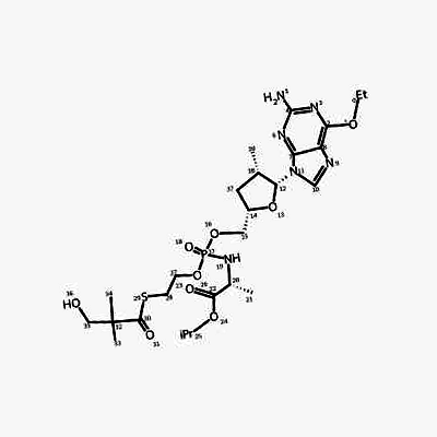 CCOc1nc(N)nc2c1ncn2[C@@H]1O[C@H](COP(=O)(N[C@H](C)C(=O)OC(C)C)OCCSC(=O)C(C)(C)CO)C[C@@H]1C